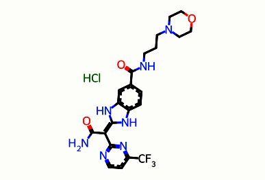 Cl.NC(=O)C(=C1Nc2ccc(C(=O)NCCCN3CCOCC3)cc2N1)c1nccc(C(F)(F)F)n1